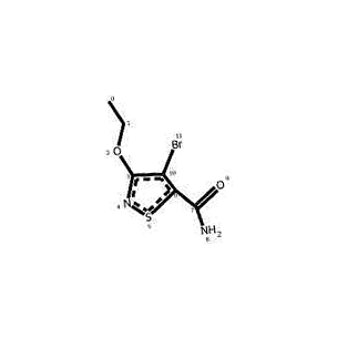 CCOc1nsc(C(N)=O)c1Br